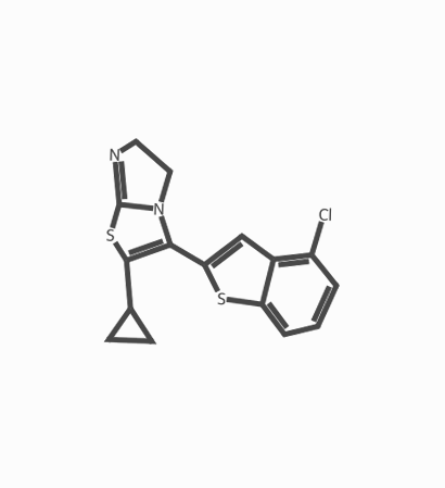 Clc1cccc2sc(C3=C(C4CC4)SC4=NCCN43)cc12